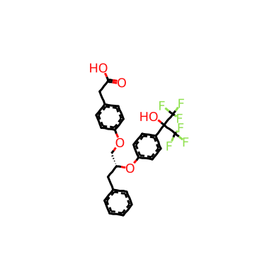 O=C(O)Cc1ccc(OC[C@@H](Cc2ccccc2)Oc2ccc(C(O)(C(F)(F)F)C(F)(F)F)cc2)cc1